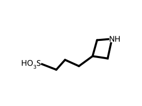 O=S(=O)(O)CCCC1CNC1